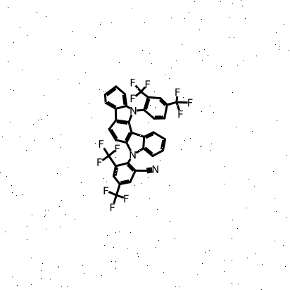 N#Cc1cc(C(F)(F)F)cc(C(F)(F)F)c1-n1c2ccccc2c2c1ccc1c3ccccc3n(-c3ccc(C(F)(F)F)cc3C(F)(F)F)c12